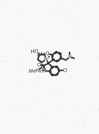 CNC(=O)[C@@H]1C[C@@H](O)C[N+]1(C)C1(c2cc(CN(C)C)ccc2OC)C(=O)Nc2ccc(Cl)cc21